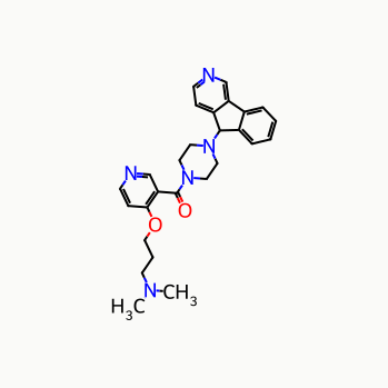 CN(C)CCCOc1ccncc1C(=O)N1CCN(C2c3ccccc3-c3cnccc32)CC1